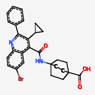 O=C(NC12CCC(C(=O)O)(CC1)CC2)c1c(C2CC2)c(-c2ccccc2)nc2ccc(Br)cc12